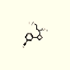 CCCN(C)C1CCC1c1cccc(C#N)c1